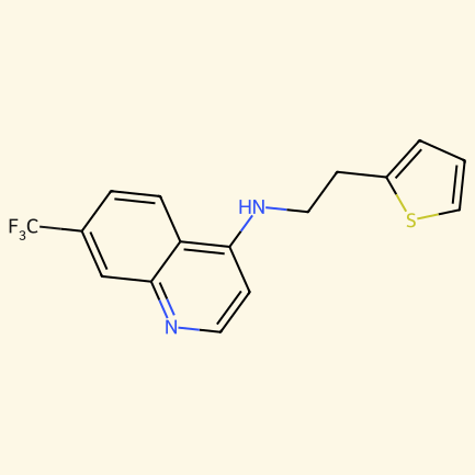 FC(F)(F)c1ccc2c(NCCc3cccs3)ccnc2c1